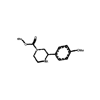 COc1ccc(C2CN(C(=O)OC(C)(C)C)CCN2)cc1